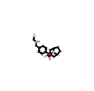 O=CNCc1ccc(C(=O)N2C3CCC2CC(F)C3)cc1